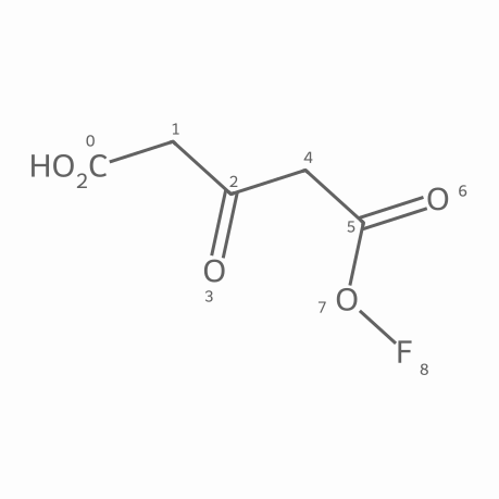 O=C(O)CC(=O)CC(=O)OF